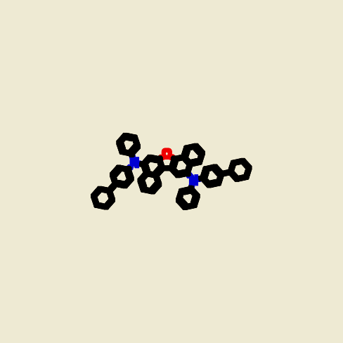 c1ccc(N(c2ccc(C3CCCCC3)cc2)c2cc3c(oc4cc(N(c5ccccc5)c5ccc(C6CCCCC6)cc5)c5ccccc5c43)c3ccccc23)cc1